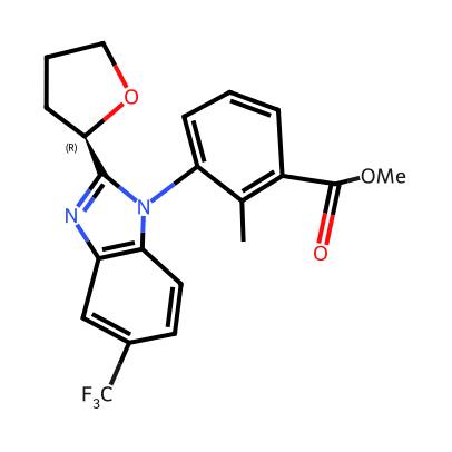 COC(=O)c1cccc(-n2c([C@H]3CCCO3)nc3cc(C(F)(F)F)ccc32)c1C